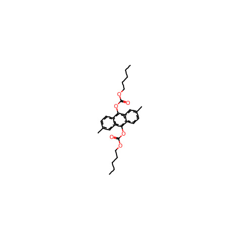 CCCCCOC(=O)Oc1c2ccc(C)cc2c(OC(=O)OCCCCC)c2ccc(C)cc12